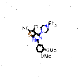 COc1ccc(-c2nc(N3CCN(C)CC3)c3c(C)c(C#N)sc3n2)cc1OC